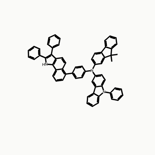 CC1(C)c2ccccc2-c2ccc(N(c3ccc(-c4cccc5c4ccc4c(-c6ccccc6)c(-c6ccccc6)[nH]c45)cc3)c3ccc4c(c3)c3ccccc3n4-c3ccccc3)cc21